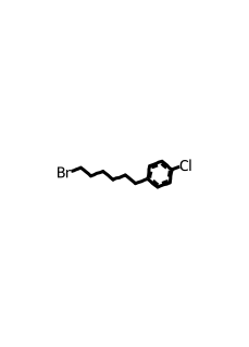 Clc1ccc(CCCCCCBr)cc1